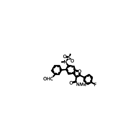 CNC(=O)c1c(-c2ccc(F)cc2)oc2cc(N(C)S(C)(=O)=O)c(-c3cccc(C=O)c3)cc12